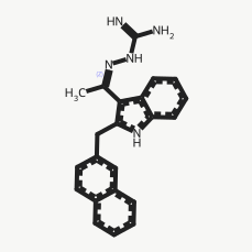 C/C(=N/NC(=N)N)c1c(Cc2ccc3ccccc3c2)[nH]c2ccccc12